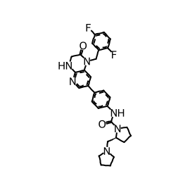 O=C1CNc2ncc(-c3ccc(NC(=O)N4CCC[C@H]4CN4CCCC4)cc3)cc2N1Cc1cc(F)ccc1F